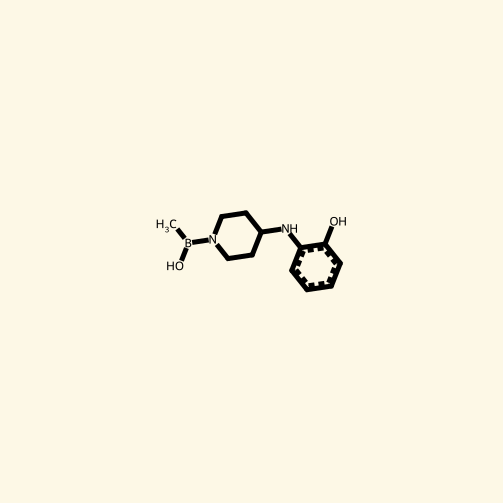 CB(O)N1CCC(Nc2ccccc2O)CC1